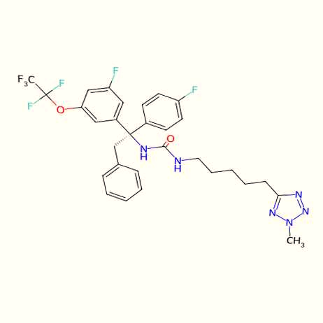 Cn1nnc(CCCCCNC(=O)N[C@](Cc2ccccc2)(c2ccc(F)cc2)c2cc(F)cc(OC(F)(F)C(F)(F)F)c2)n1